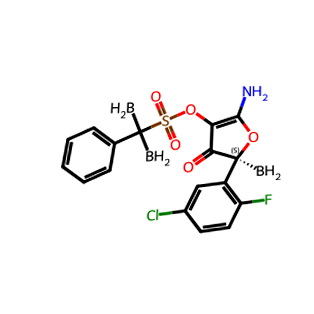 BC(B)(c1ccccc1)S(=O)(=O)OC1=C(N)O[C@@](B)(c2cc(Cl)ccc2F)C1=O